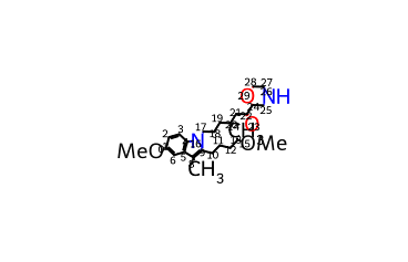 COc1ccc2c(c1)c(C)c(CCCC(C)OC)n2CCCCCC(=O)C1CNCCO1